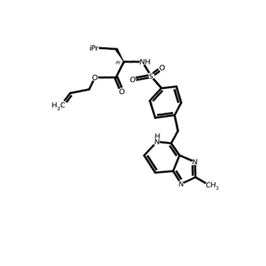 C=CCOC(=O)[C@@H](CC(C)C)NS(=O)(=O)c1ccc(Cc2[nH]ccc3nc(C)nc2-3)cc1